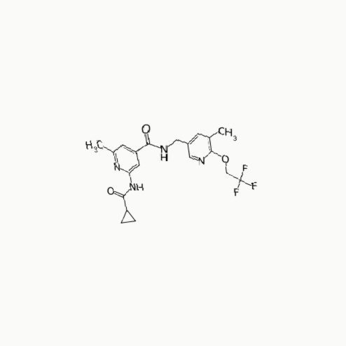 Cc1cc(C(=O)NCc2cnc(OCC(F)(F)F)c(C)c2)cc(NC(=O)C2CC2)n1